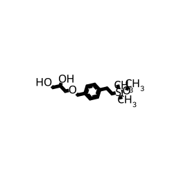 CO[Si](C)(C)CCc1ccc(COCC(O)CO)cc1